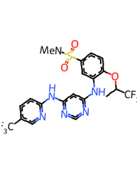 CNS(=O)(=O)c1ccc(OC(C)C(F)(F)F)c(Nc2cc(Nc3ccc(C(F)(F)F)cn3)ncn2)c1